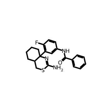 NC1=NC2(c3cc(NC(=O)c4ccccc4)ccc3F)CCCCC2CS1